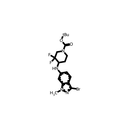 Cn1nc(Br)c2ccc(NC3CCN(C(=O)OC(C)(C)C)CC3(F)F)cc21